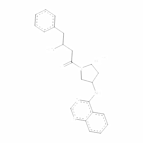 Cl.Cl.NC(CC(=O)N1CCC(Nc2ncnc3ccccc23)C1)Cc1ccccc1